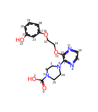 O=C(O)N1CCN(c2nccnc2OCCOc2cccc(O)c2)CC1